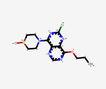 CCCOc1ncnc2c(N3CC[S+]([O-])CC3)nc(Cl)nc12